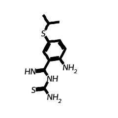 CC(C)Sc1ccc(N)c(C(=N)NC(N)=S)c1